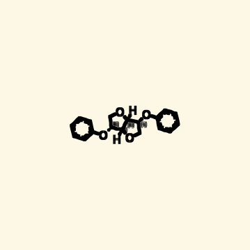 c1ccc(O[C@H]2CO[C@H]3[C@@H]2OC[C@H]3Oc2ccccc2)cc1